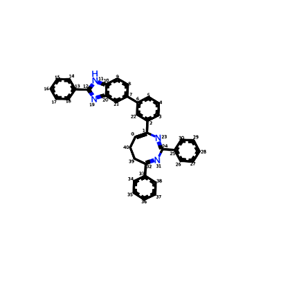 C1=C(c2cccc(-c3ccc4[nH]c(-c5ccccc5)nc4c3)c2)/N=C(c2ccccc2)\N=C(\c2ccccc2)CC\1